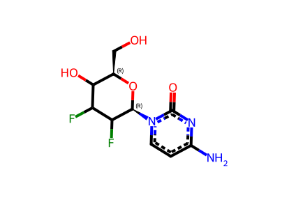 Nc1ccn([C@@H]2O[C@H](CO)C(O)C(F)C2F)c(=O)n1